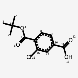 CC(C)(C)OC(=O)c1ccc(C(=O)O)cc1Cl